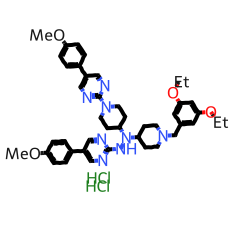 CCOc1cc(CN2CCC(N(Nc3ncc(-c4ccc(OC)cc4)cn3)C3CCN(c4ncc(-c5ccc(OC)cc5)cn4)CC3)CC2)cc(OCC)c1.Cl.Cl